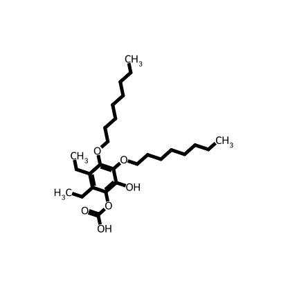 CCCCCCCCOc1c(O)c(OC(=O)O)c(CC)c(CC)c1OCCCCCCCC